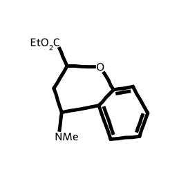 CCOC(=O)C1CC(NC)c2ccccc2O1